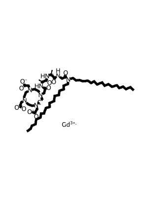 CCCCCCCCCCCCCCCCCCN(CCCCCCCCCCCCCCCCCC)C(=O)CNC(=O)[C@H](C)NC(=O)[C@H](C)NC(=O)CN1CCN(CC(=O)[O-])CCN(CC(=O)[O-])CCN(CC(=O)[O-])CC1.[Gd+3]